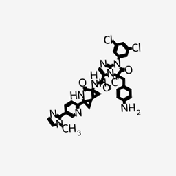 Cn1ccnc1-c1ccc(C2(NC(=O)C3(NC(=O)c4cnc5n4[C@](C)(Cc4ccc(N)cc4)C(=O)N5c4cc(Cl)cc(Cl)c4)CC3)CC2)nc1